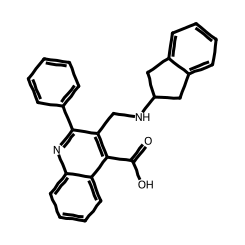 O=C(O)c1c(CNC2Cc3ccccc3C2)c(-c2ccccc2)nc2ccccc12